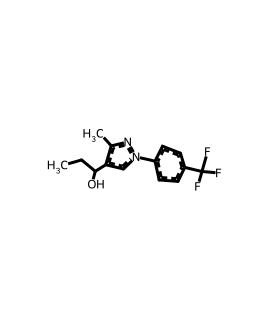 CCC(O)c1cn(-c2ccc(C(F)(F)F)cc2)nc1C